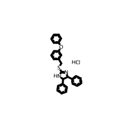 Cl.c1ccc(Oc2cccc(CSC3=NC(c4ccccc4)C(c4ccccc4)N3)c2)cc1